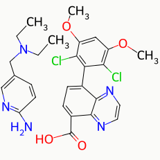 CCN(CC)Cc1ccc(N)nc1.COc1cc(OC)c(Cl)c(-c2ccc(C(=O)O)c3nccnc23)c1Cl